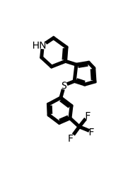 FC(F)(F)c1cccc(Sc2ccccc2C2=CCNCC2)c1